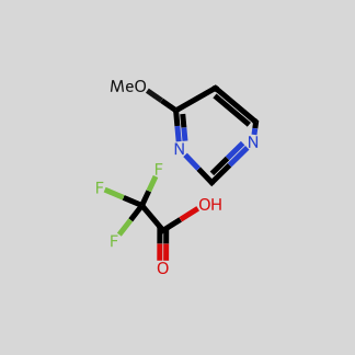 COc1ccncn1.O=C(O)C(F)(F)F